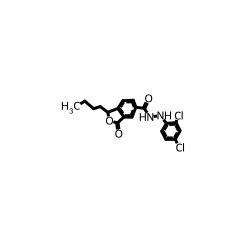 CCCCC1OC(=O)c2cc(C(=O)NNc3ccc(Cl)cc3Cl)ccc21